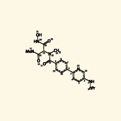 CCCNc1ccc(-c2ccc(C(=O)N(C)C(C(=O)NC)C(=O)NO)cc2)nc1